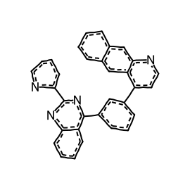 c1ccc(-c2nc(-c3cccc(-c4ccnc5cc6ccccc6cc45)c3)c3ccccc3n2)nc1